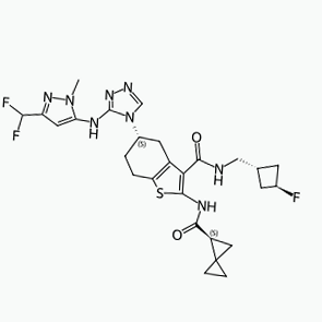 Cn1nc(C(F)F)cc1Nc1nncn1[C@H]1CCc2sc(NC(=O)[C@H]3CC34CC4)c(C(=O)NC[C@H]3C[C@H](F)C3)c2C1